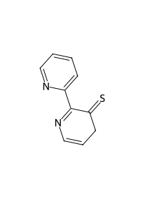 S=C1CC=CN=C1c1ccccn1